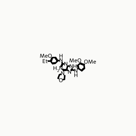 C=C(/N=C1/NC(Nc2ccc(OC)c(OC)c2)=N/C1=C(/N)N1CCOCC1)Nc1ccc(CC)c(OC)c1